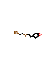 SCCSCCC1CC2OC2C1